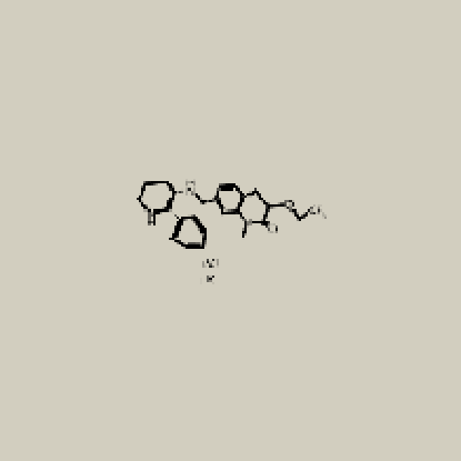 CN1C(=O)C(OCC(F)(F)F)Cc2ccc(CN[C@H]3CCCN[C@H]3c3ccccc3)cc21.Cl.Cl